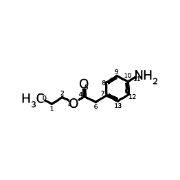 CCCOC(=O)Cc1ccc(N)cc1